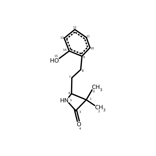 CC1(C)C(=O)NC1CCc1ccccc1O